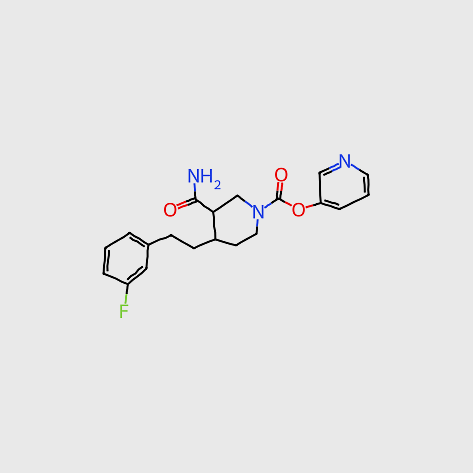 NC(=O)C1CN(C(=O)Oc2cccnc2)CCC1CCc1cccc(F)c1